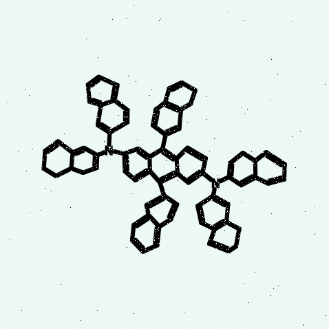 C1=CC2=CC(N(c3ccc4c(c3)CCC=C4)c3ccc4c(-c5ccc6c(c5)CCC=C6)c5cc(N(C6=CCC7CCC=CC7=C6)c6ccc7ccccc7c6)ccc5c(-c5ccc6ccccc6c5)c4c3)=CCC2C=C1